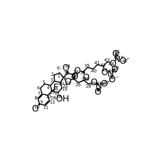 C[C@H]1CC2C3CCC4=CC(=O)C=C[C@]4(C)[C@@]3(F)[C@@H](O)C[C@]2(C)[C@@]1(OC(=O)CCCO[N+](=O)[O-])C(=O)COC(=O)CCCC(CO[N+](=O)[O-])O[N+](=O)[O-]